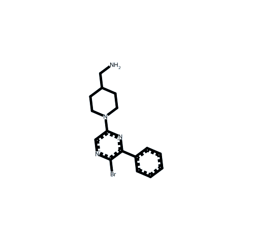 NCC1CCN(c2cnc(Br)c(-c3ccccc3)n2)CC1